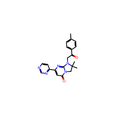 Cc1ccc(C(=O)CN2c3nc(-c4ccncn4)cc(=O)n3CC2(C)C)cc1